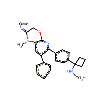 CON=C1COc2nc(-c3ccc(C4(NC(=O)O)CCC4)cc3)c(-c3ccccc3)cc2N1C